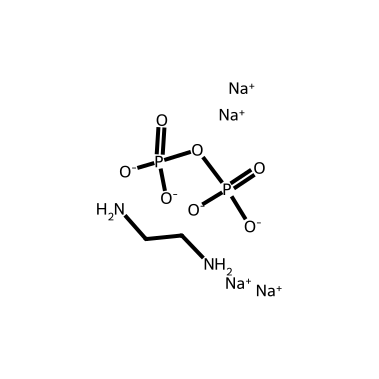 NCCN.O=P([O-])([O-])OP(=O)([O-])[O-].[Na+].[Na+].[Na+].[Na+]